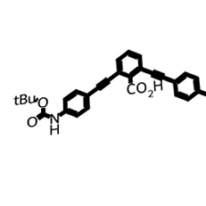 Cc1ccc(C#Cc2cccc(C#Cc3ccc(NC(=O)OC(C)(C)C)cc3)c2C(=O)O)cc1